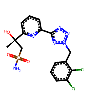 C[C@](O)(CS(N)(=O)=O)c1cccc(-c2nnn(Cc3cccc(Cl)c3Cl)n2)n1